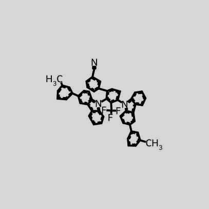 Cc1cccc(-c2ccc3c(c2)c2ccccc2n3-c2ccc(-c3cccc(C#N)c3)c(-n3c4ccccc4c4cc(-c5cccc(C)c5)ccc43)c2C(F)(F)F)c1